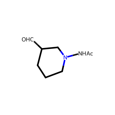 CC(=O)NN1CCCC(C=O)C1